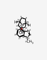 Cn1cnc2c(N3[C@@H]4CC[C@H]3C[C@H](O)C4)cccc21